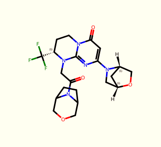 O=C(CN1c2nc(N3C[C@@H]4C[C@H]3CO4)cc(=O)n2CC[C@H]1C(F)(F)F)N1C2CCC1COC2